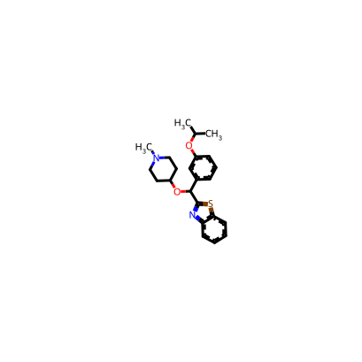 CC(C)Oc1cccc(C(OC2CCN(C)CC2)c2nc3ccccc3s2)c1